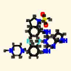 CN1CCN(c2ccc(Nc3nc(Nc4cccc5c4N(S(C)(=O)=O)CC5)c4cc[nH]c4n3)c(F)c2F)CC1